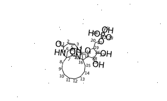 O=C1/C=C\C2CCC3(CCCCCCCCC(C4OC(COP(=O)(O)O)C(O)C4O)(C2)NC3O)N1